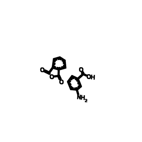 Nc1cccc(C(=O)O)c1.O=C1OC(=O)c2ccccc21